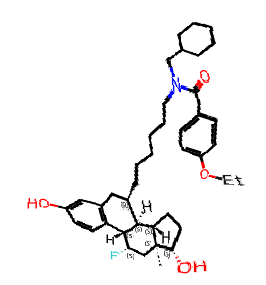 CCOc1ccc(C(=O)N(CCCCCC[C@@H]2Cc3cc(O)ccc3[C@@H]3[C@@H]2[C@@H]2CC[C@H](O)[C@@]2(C)C[C@@H]3F)CC2CCCCC2)cc1